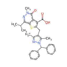 Cc1nn(C(c2ccccc2)c2ccccc2)c(C)c1Cc1sc2c(C(C)C)nn(C)c(=O)c2c1C(=O)O